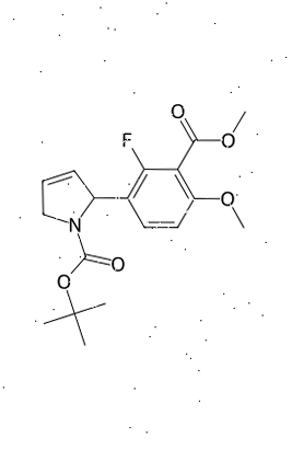 COC(=O)c1c(OC)ccc(C2C=CCN2C(=O)OC(C)(C)C)c1F